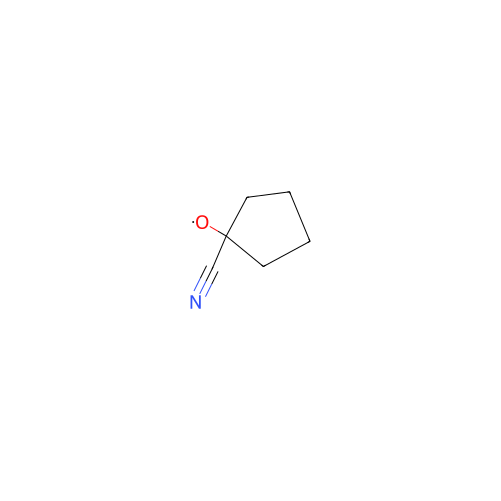 N#CC1([O])CCCC1